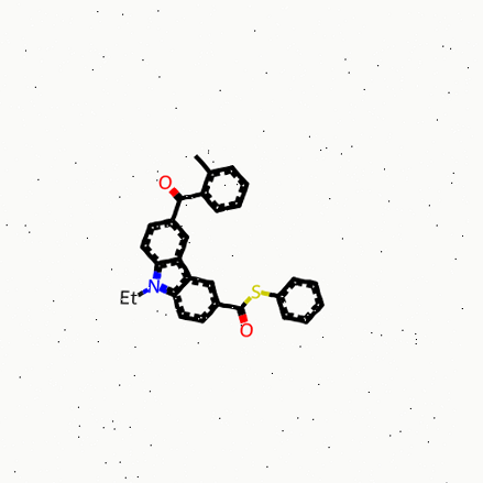 CCn1c2ccc(C(=O)Sc3ccccc3)cc2c2cc(C(=O)c3ccccc3C)ccc21